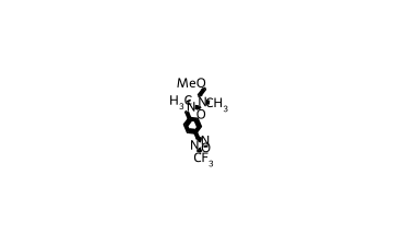 COCCN(C)C(=O)N(C)Cc1ccc(-c2noc(C(F)(F)F)n2)cc1